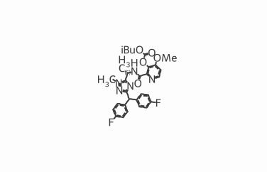 COc1ccnc(C(=O)N[C@@H](C)c2nc(C(c3ccc(F)cc3)c3ccc(F)cc3)nn2C)c1OC(=O)OCC(C)C